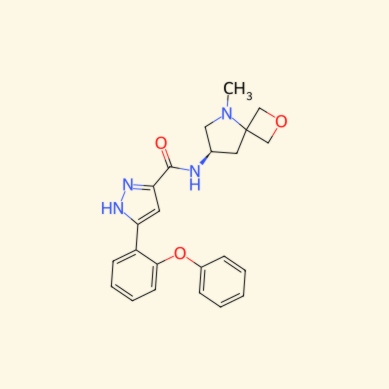 CN1C[C@H](NC(=O)c2cc(-c3ccccc3Oc3ccccc3)[nH]n2)CC12COC2